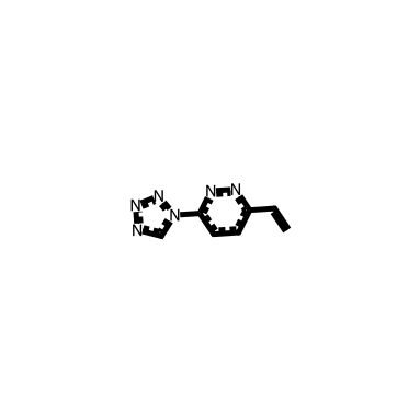 C=Cc1ccc(-n2cnnn2)nn1